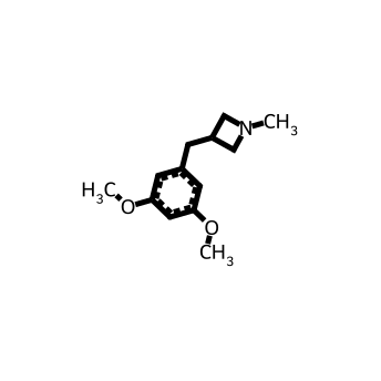 COc1cc(CC2CN(C)C2)cc(OC)c1